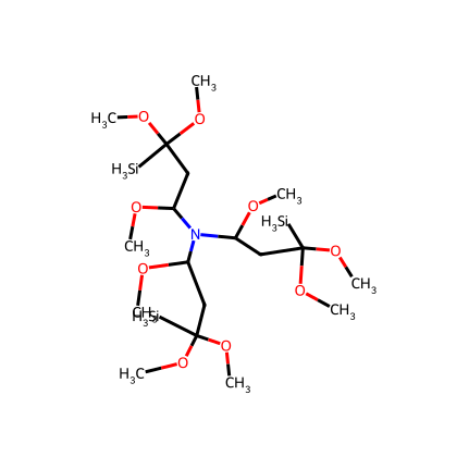 COC(CC([SiH3])(OC)OC)N(C(CC([SiH3])(OC)OC)OC)C(CC([SiH3])(OC)OC)OC